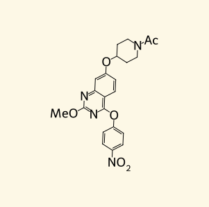 COc1nc(Oc2ccc([N+](=O)[O-])cc2)c2ccc(OC3CCN(C(C)=O)CC3)cc2n1